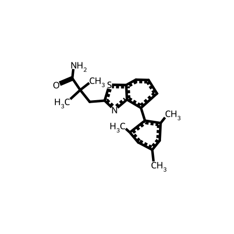 Cc1cc(C)c(-c2cccc3sc(CC(C)(C)C(N)=O)nc23)c(C)c1